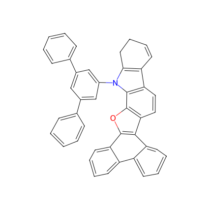 C1=Cc2c(n(-c3cc(-c4ccccc4)cc(-c4ccccc4)c3)c3c2ccc2c3oc3c4ccccc4c4ccccc4c23)CC1